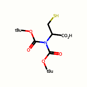 CC(C)(C)OC(=O)N(C(=O)OC(C)(C)C)C(CS)C(=O)O